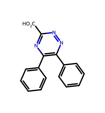 O=C(O)c1nnc(-c2ccccc2)c(-c2ccccc2)n1